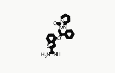 N=C(N)c1cc2c(OC(Cn3nc4ccccn4c3=O)c3ccccc3)cccc2s1